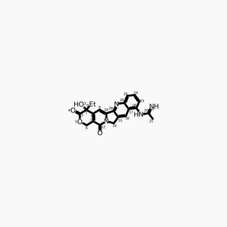 CCC1(O)C(=O)OCc2c1cc1n(c2=O)Cc2cc3c(NC(C)=N)cccc3nc2-1